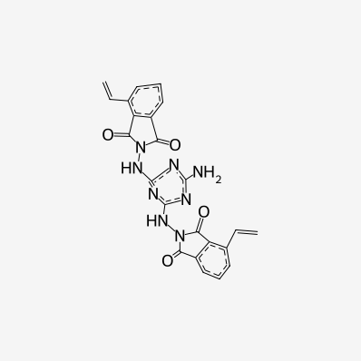 C=Cc1cccc2c1C(=O)N(Nc1nc(N)nc(NN3C(=O)c4cccc(C=C)c4C3=O)n1)C2=O